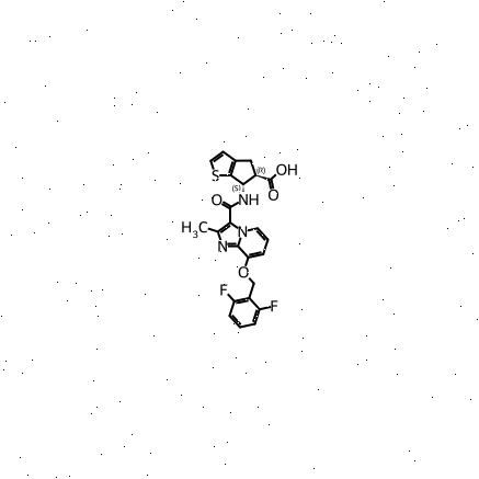 Cc1nc2c(OCc3c(F)cccc3F)cccn2c1C(=O)N[C@@H]1c2sccc2C[C@H]1C(=O)O